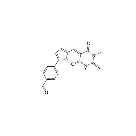 CC(=O)c1ccc(-c2ccc(C=C3C(=O)N(C)C(=S)N(C)C3=O)o2)cc1